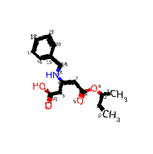 CCC(C)OC(=O)C=C(CC(=O)O)NCc1ccccc1